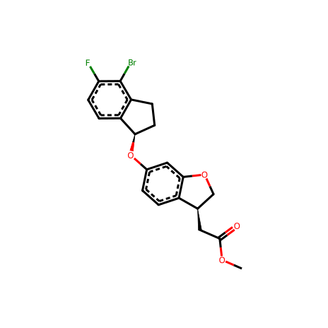 COC(=O)C[C@@H]1COc2cc(O[C@@H]3CCc4c3ccc(F)c4Br)ccc21